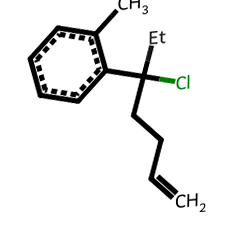 C=CCCC(Cl)(CC)c1ccccc1C